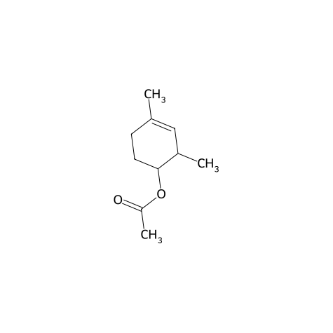 CC(=O)OC1CCC(C)=CC1C